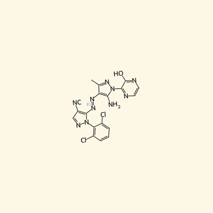 [C-]#[N+]c1cnn(-c2c(Cl)cccc2Cl)c1/N=N/c1c(C)nn(-c2nccnc2O)c1N